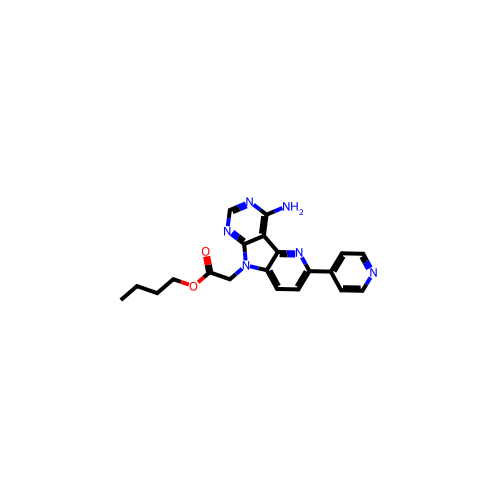 CCCCOC(=O)Cn1c2ccc(-c3ccncc3)nc2c2c(N)ncnc21